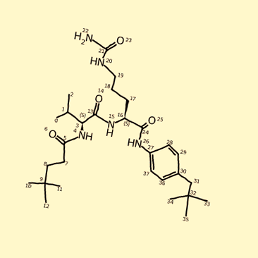 CC(C)[C@H](NC(=O)CCC(C)(C)C)C(=O)N[C@@H](CCCNC(N)=O)C(=O)Nc1ccc(CC(C)(C)C)cc1